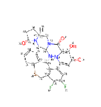 O=C1c2c(O)c(=O)ccn2N([C@H]2c3ccccc3SCc3c2ccc(F)c3F)C2CN3C(=O)CC[C@H]3CN12